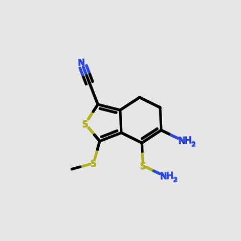 CSc1sc(C#N)c2c1C(SN)=C(N)CC2